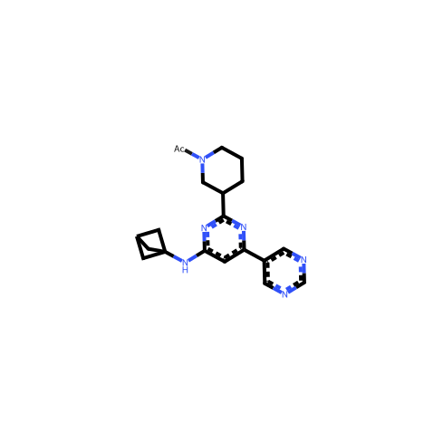 CC(=O)N1CCCC(c2nc(NC34CC(C3)C4)cc(-c3cncnc3)n2)C1